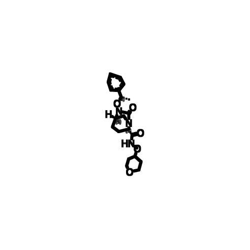 C[C@H](ON1C(=O)N2C[C@@H]1CC[C@H]2C(=O)NOC1CCOCC1)c1ccccc1